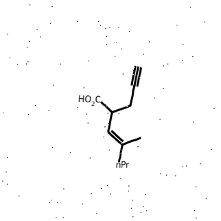 C#CCC(C=C(C)CCC)C(=O)O